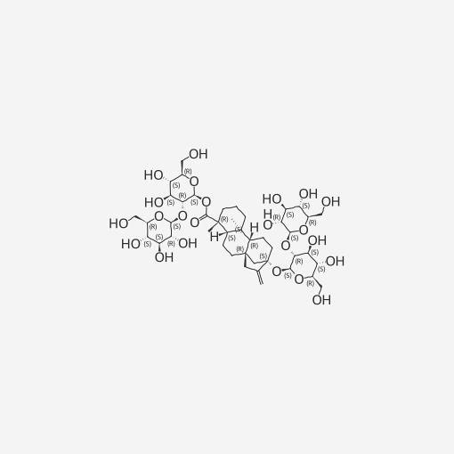 C=C1C[C@@]23CC[C@H]4[C@@](C)(CCC[C@@]4(C)C(=O)O[C@@H]4O[C@H](CO)[C@@H](O)[C@H](O)[C@H]4O[C@@H]4O[C@H](CO)[C@@H](O)[C@H](O)[C@H]4O)[C@@H]2CC[C@]1(O[C@@H]1O[C@H](CO)[C@@H](O)[C@H](O)[C@H]1O[C@@H]1O[C@H](CO)[C@@H](O)[C@H](O)[C@H]1O)C3